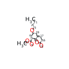 CCCCOc1cc(C(=O)OC)c2oc(=O)ccc2c1